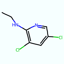 CCNc1ncc(Cl)cc1Cl